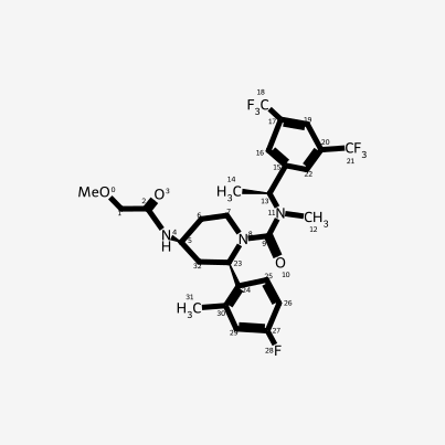 COCC(=O)N[C@H]1CCN(C(=O)N(C)[C@@H](C)c2cc(C(F)(F)F)cc(C(F)(F)F)c2)[C@@H](c2ccc(F)cc2C)C1